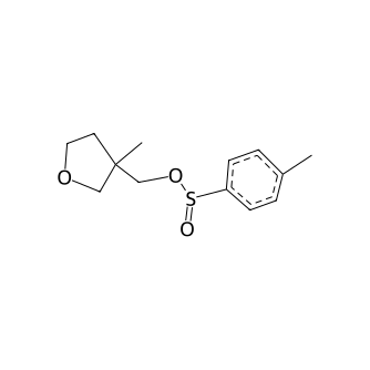 Cc1ccc(S(=O)OCC2(C)CCOC2)cc1